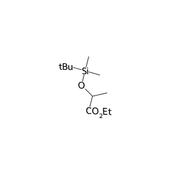 CCOC(=O)C(C)O[Si](C)(C)C(C)(C)C